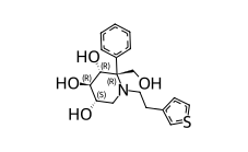 OC[C@]1(c2ccccc2)[C@@H](O)[C@H](O)[C@@H](O)CN1CCc1ccsc1